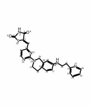 O=C1NC(=O)/C(=C/c2ccnc(N3CCc4ccc(NCCc5ccccn5)cc4C3)n2)S1